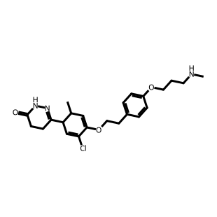 CNCCCOc1ccc(CCOC2=CC(C)C(C3=NNC(=O)CC3)C=C2Cl)cc1